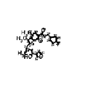 Cc1c(CN(C)CC(O)c2ccoc2)sc2c(=O)c(C(=O)NCc3ccc(F)cc3)cn(C)c12